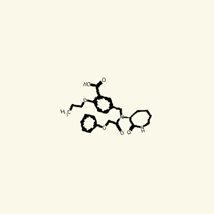 CCCOc1ccc(CN(C(=O)COc2ccccc2)[C@H]2CCCCNC2=O)cc1C(=O)O